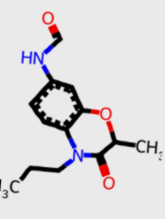 CCCN1C(=O)C(C)Oc2cc(NC=O)ccc21